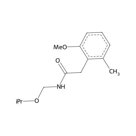 COc1cccc(C)c1CC(=O)NCOC(C)C